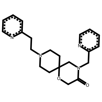 O=C1COC2(CCN(CCc3ccccn3)CC2)CN1Cc1ccccn1